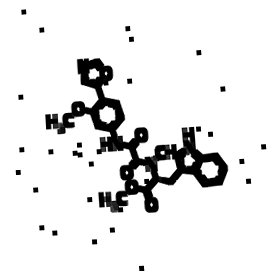 COC(=O)[C@H](Cc1c[nH]c2ccccc12)N(C)C(=O)C(=O)Nc1ccc(-c2cnco2)c(OC)c1